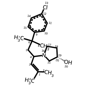 CC(C)=CC(CC(C)(C)c1ccc(Cl)cc1)N1CC[C@H](O)C1